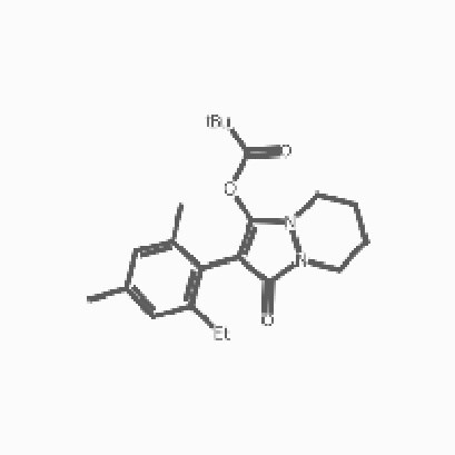 CCc1cc(C)cc(C)c1-c1c(OC(=O)C(C)(C)C)n2n(c1=O)CCCC2